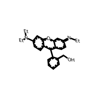 CCN=c1ccc2c(-c3ccccc3CO)c3ccc(N(CC)CC)cc3oc-2c1